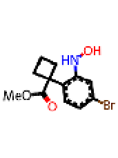 COC(=O)C1(c2ccc(Br)cc2NO)CCC1